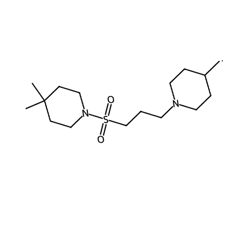 [CH2]C1CCN(CCCS(=O)(=O)N2CCC(C)(C)CC2)CC1